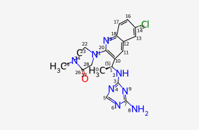 C[C@H](Nc1ncnc(N)n1)c1cc2cc(Cl)ccc2nc1N1CCN(C)C(=O)C1